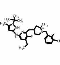 CCc1cc(NC2C=C(C)N(C(C)(C)C)N2)nc(CC2CCN(Cc3cccc(Cl)c3F)[C@H](C)C2)c1F